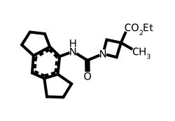 CCOC(=O)C1(C)CN(C(=O)Nc2c3c(cc4c2CCC4)CCC3)C1